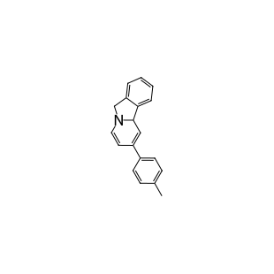 Cc1ccc(C2=CC3c4ccccc4CN3C=C2)cc1